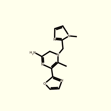 CC1=C(c2ncco2)N=C(N)CN1Cc1nccn1C